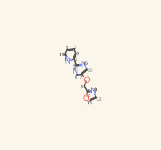 c1ccc(-c2ncc(OCc3ncco3)cn2)nc1